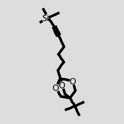 CC(C)(C)C12COC(CCCCC#C[Si](C)(C)C)(OC1)OC2